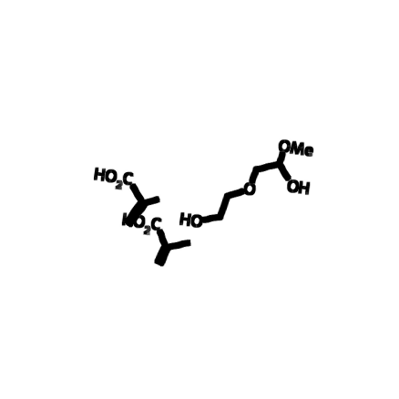 C=C(C)C(=O)O.C=C(C)C(=O)O.COC(O)COCCO